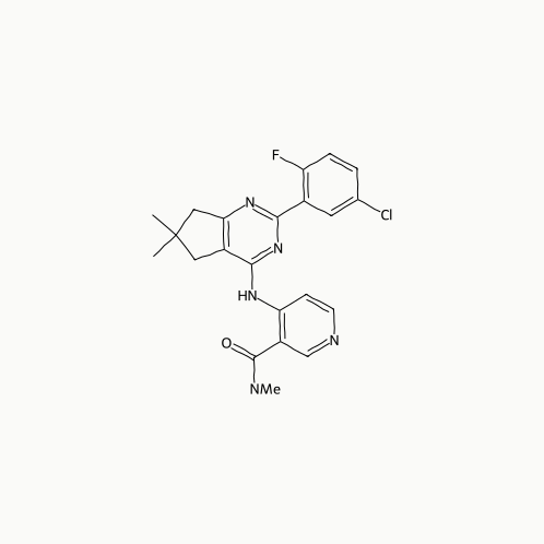 CNC(=O)c1cnccc1Nc1nc(-c2cc(Cl)ccc2F)nc2c1CC(C)(C)C2